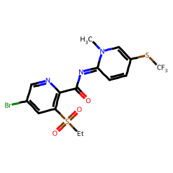 CCS(=O)(=O)c1cc(Br)cnc1C(=O)N=c1ccc(SC(F)(F)F)cn1C